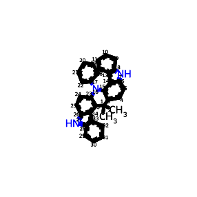 CC1(C)c2ccc3[nH]c4ccccc4c3c2N(c2ccccc2)c2ccc3[nH]c4ccccc4c3c21